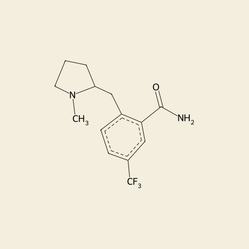 CN1CCCC1Cc1ccc(C(F)(F)F)cc1C(N)=O